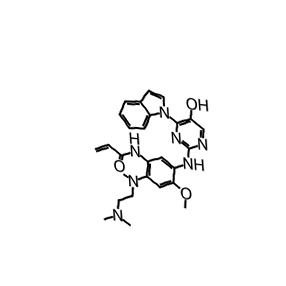 C=CC(=O)Nc1cc(Nc2ncc(O)c(-n3ccc4ccccc43)n2)c(OC)cc1N(C)CCN(C)C